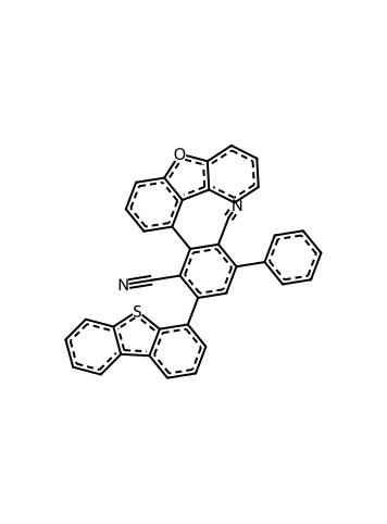 N#Cc1c(-c2ccccc2)cc(-c2cccc3c2sc2ccccc23)c(C#N)c1-c1cccc2oc3ccccc3c12